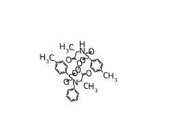 Cc1ccc(S(=O)(=O)N[C@@H](C)C(=O)OOC(=O)[C@H](C)N(c2ccccc2)S(=O)(=O)c2ccc(C)cc2)cc1